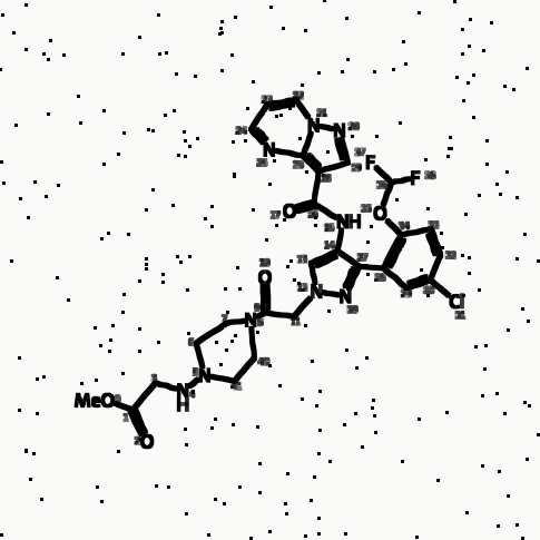 COC(=O)CNN1CCN(C(=O)Cn2cc(NC(=O)c3cnn4cccnc34)c(-c3cc(Cl)ccc3OC(F)F)n2)CC1